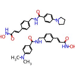 CN(C)c1ccc(C(=O)NCc2ccc(C=CC(=O)NO)cc2)cc1.O=C(C=Cc1ccc(CNC(=O)c2ccc(N3CCCC3)cc2)cc1)NO